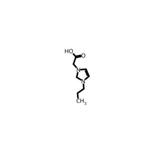 CCCN1C=CN(CC(=O)O)C1